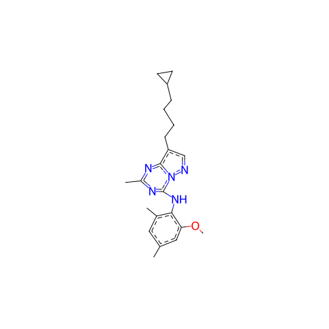 COc1cc(C)cc(C)c1Nc1nc(C)nc2c(CCCCC3CC3)cnn12